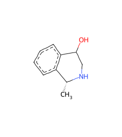 C[C@H]1NCC(O)c2ccccc21